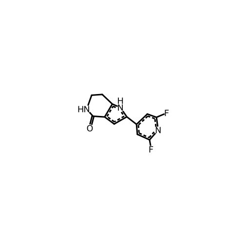 O=C1NCCc2[nH]c(-c3cc(F)nc(F)c3)cc21